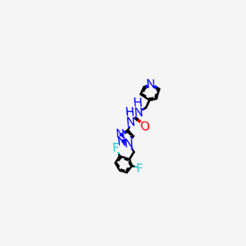 O=C(NCc1ccncc1)Nc1cn(Cc2c(F)cccc2F)nn1